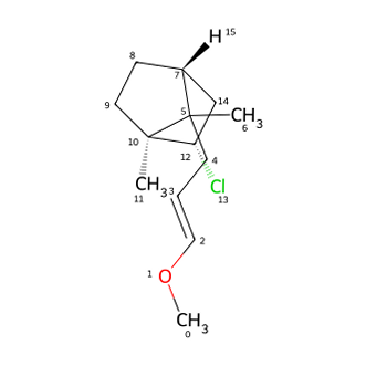 CO/C=C/CC1(C)[C@@H]2CC[C@]1(C)[C@@H](Cl)C2